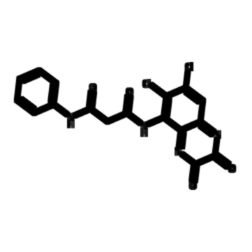 O=C(CC(=O)Nc1c(Cl)c(Cl)cc2c1=NC(=O)C(=O)N=2)Nc1ccccc1